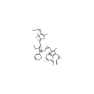 C=C/C=C\c1c(C)c(/C=C\CN(C2=CC=CCC2)/C(=C/C=C2\CC(C)=C(/C=C\CC)C2(C)C)CC)n(C/C=C\C=C/C)c1C